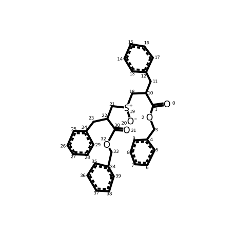 O=C(OCc1ccccc1)C(Cc1ccccc1)C[S+]([O-])CC(Cc1ccccc1)C(=O)OCc1ccccc1